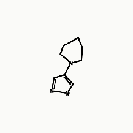 C1=N[N]C=C1N1CCCCC1